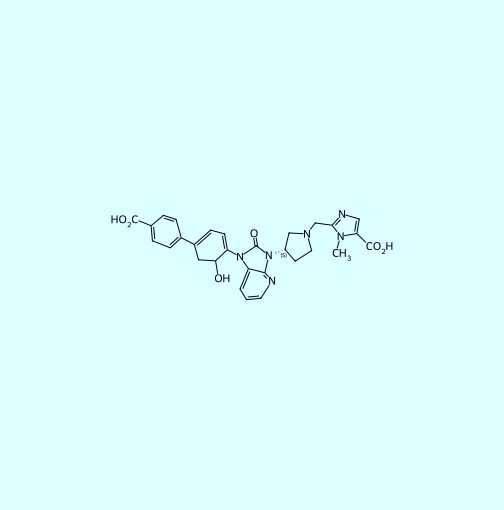 Cn1c(C(=O)O)cnc1CN1CC[C@H](n2c(=O)n(C3=CC=C(c4ccc(C(=O)O)cc4)CC3O)c3cccnc32)C1